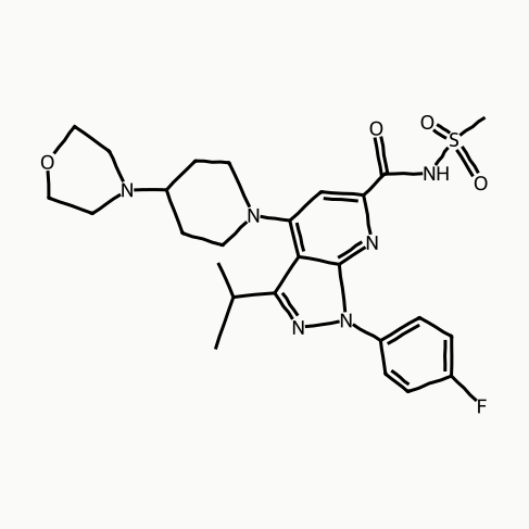 CC(C)c1nn(-c2ccc(F)cc2)c2nc(C(=O)NS(C)(=O)=O)cc(N3CCC(N4CCOCC4)CC3)c12